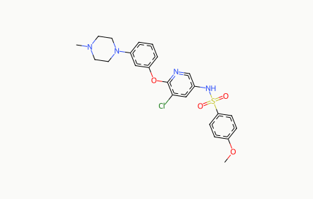 COc1ccc(S(=O)(=O)Nc2cnc(Oc3cccc(N4CCN(C)CC4)c3)c(Cl)c2)cc1